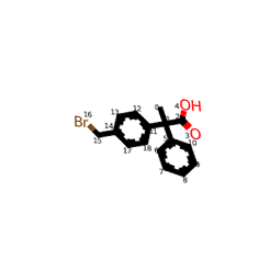 CC(C(=O)O)(c1ccccc1)c1ccc(CBr)cc1